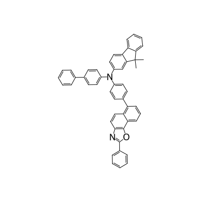 CC1(C)c2ccccc2-c2ccc(N(c3ccc(-c4ccccc4)cc3)c3ccc(-c4cccc5c4ccc4nc(-c6ccccc6)oc45)cc3)cc21